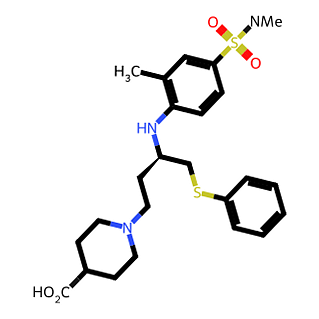 CNS(=O)(=O)c1ccc(N[C@H](CCN2CCC(C(=O)O)CC2)CSc2ccccc2)c(C)c1